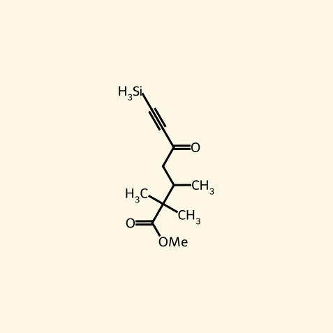 COC(=O)C(C)(C)C(C)CC(=O)C#C[SiH3]